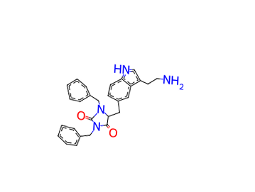 NCCc1c[nH]c2ccc(CC3C(=O)N(Cc4ccccc4)C(=O)N3Cc3ccccc3)cc12